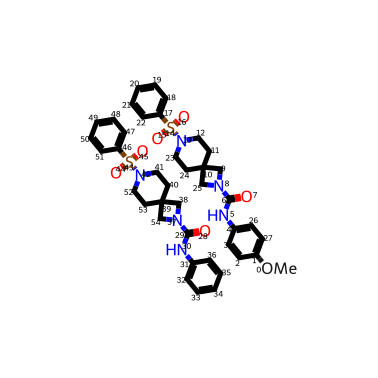 COc1ccc(NC(=O)N2CC3(CCN(S(=O)(=O)c4ccccc4)CC3)C2)cc1.O=C(Nc1ccccc1)N1CC2(CCN(S(=O)(=O)c3ccccc3)CC2)C1